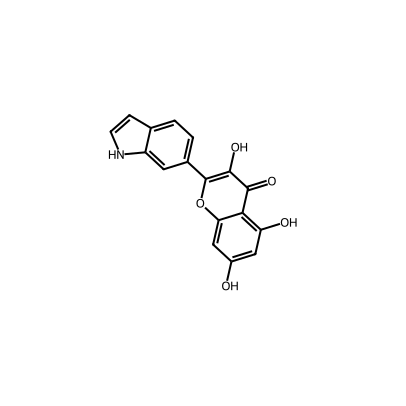 O=c1c(O)c(-c2ccc3cc[nH]c3c2)oc2cc(O)cc(O)c12